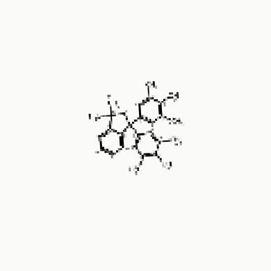 Cc1cc(C2(c3cc(C)c(O)c(C)c3)CC(C)(C)c3ccccc32)cc(C)c1O